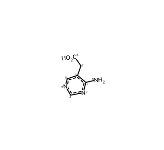 Nc1ncncc1CC(=O)O